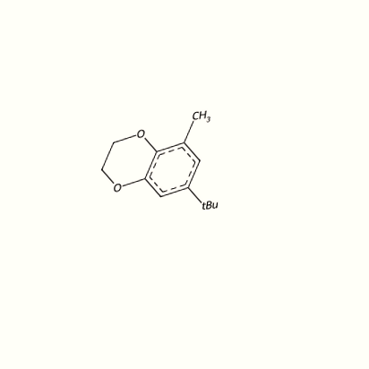 Cc1cc(C(C)(C)C)cc2c1OCCO2